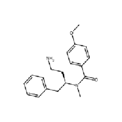 COc1ccc(C(=O)N(C)[C@H](CCN)Cc2ccccc2)cc1